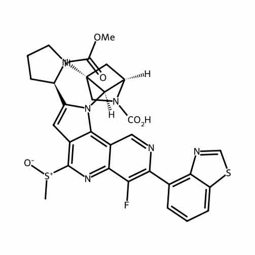 COC(=O)N1CCC[C@@H]1c1cc2c([S+](C)[O-])nc3c(F)c(-c4cccc5scnc45)ncc3c2n1[C@H]1[C@@H]2C[C@H]1N(C(=O)O)C2